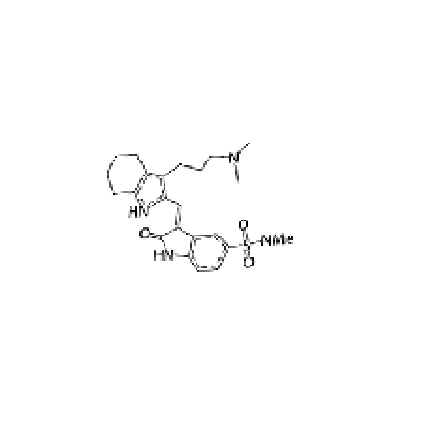 CNS(=O)(=O)c1ccc2c(c1)C(=Cc1[nH]c3c(c1CCCN(C)C)CCCC3)C(=O)N2